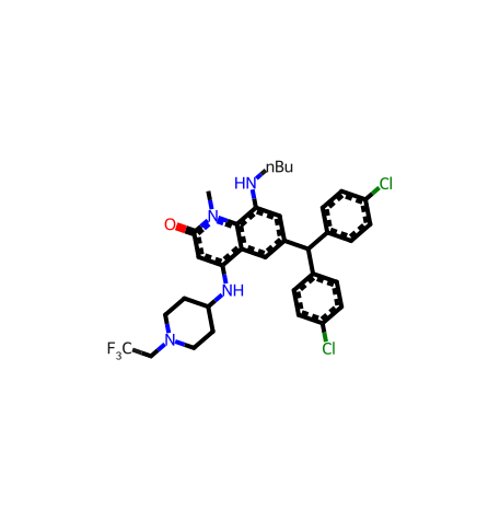 CCCCNc1cc(C(c2ccc(Cl)cc2)c2ccc(Cl)cc2)cc2c(NC3CCN(CC(F)(F)F)CC3)cc(=O)n(C)c12